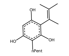 CCCCCc1c(O)cc(O)c(C(C)=C(C)C)c1O